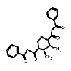 CC1C(C(=O)CC(=O)c2ccccc2)CCC(C(=O)CC(=O)c2ccccc2)C1C